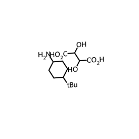 CC(C)(C)C1CCC(N)CC1.O=C(O)C(O)C(O)C(=O)O